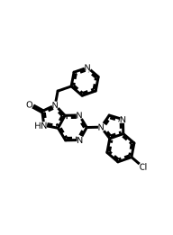 O=c1[nH]c2cnc(-n3cnc4cc(Cl)ccc43)nc2n1Cc1cccnc1